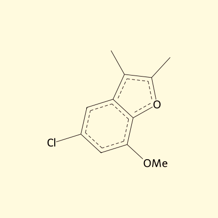 COc1cc(Cl)cc2c(C)c(C)oc12